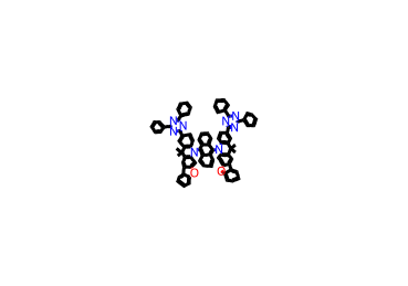 CC1(C)c2cc(-c3nc(-c4ccccc4)nc(-c4ccccc4)n3)ccc2N(c2c3ccccc3c(N3c4ccc(-c5nc(-c6ccccc6)nc(-c6ccccc6)n5)cc4C(C)(C)c4cc5c(cc43)oc3ccccc35)c3ccccc23)c2cc3oc4ccccc4c3cc21